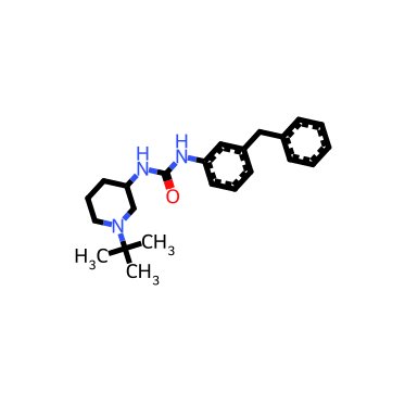 CC(C)(C)N1CCCC(NC(=O)Nc2cccc(Cc3ccccc3)c2)C1